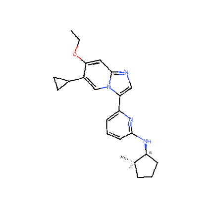 CCOc1cc2ncc(-c3cccc(N[C@H]4CCC[C@@H]4C)n3)n2cc1C1CC1